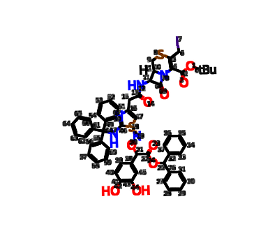 CC(C)(C)OC(=O)C1=C(CI)SC[C@@H]2[C@H](NC(=O)CC3=C/S(=N/OC(C(=O)OC(c4ccccc4)c4ccccc4)c4ccc(O)c(O)c4)C(NC(c4ccccc4)(c4ccccc4)c4ccccc4)=N3)C(=O)N12